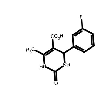 CC1=C(C(=O)O)C(c2cccc(F)c2)NC(=O)N1